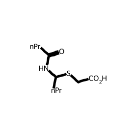 CCCC(=O)NC(CCC)SCC(=O)O